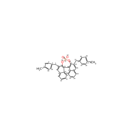 Cc1ccc(Cc2cc3ccccc3c3c2OS(=O)(=O)Oc2c(Cc4ccc(C)cc4)cc4ccccc4c2-3)cc1